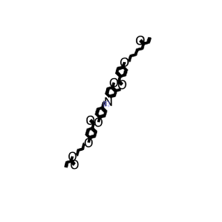 C=CC(=O)CCCCCOc1ccc(C(=O)Oc2ccc(/N=C/c3ccc(OC(=O)c4ccc(OCCCCOC(=O)C=C)cc4)cc3)cc2C)cc1